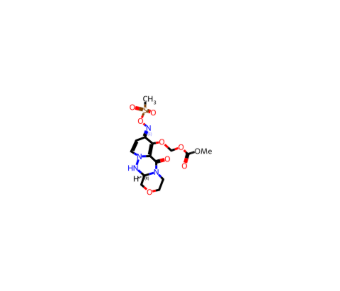 COC(=O)OCOc1c2n(cc/c1=N\OS(C)(=O)=O)N[C@@H]1COCCN1C2=O